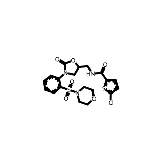 O=C(NCC1CN(c2ccccc2S(=O)(=O)N2CCOCC2)C(=O)O1)c1ccc(Cl)s1